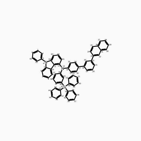 c1ccc(-n2c3ccccc3c3c(N(c4ccc(-c5cccc(-c6ccc7ccccc7c6)c5)cc4)c4cccc([Si](c5ccccc5)(c5ccccc5)c5ccccc5)c4)cccc32)cc1